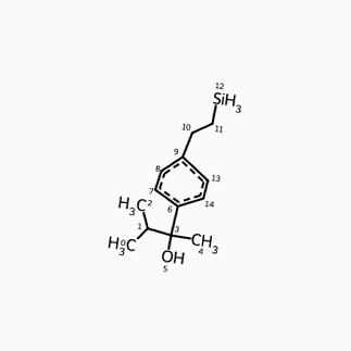 CC(C)C(C)(O)c1ccc(CC[SiH3])cc1